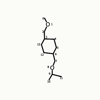 COCC1CCC(COC(C)C)CC1